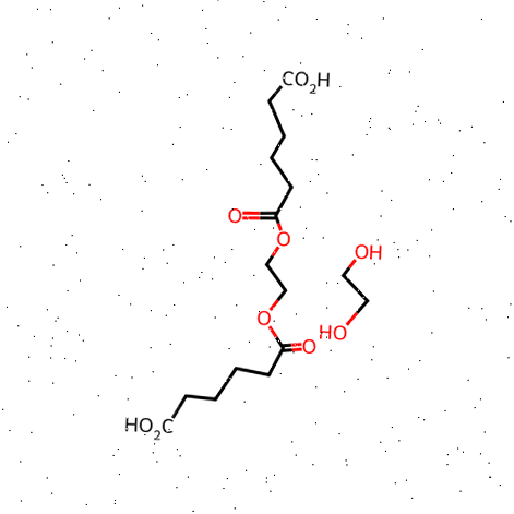 O=C(O)CCCCC(=O)OCCOC(=O)CCCCC(=O)O.OCCO